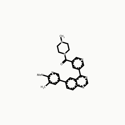 CNc1ncc(-c2ccc3ncnc(-c4cncc(C(=O)N5CCN(C)CC5)c4)c3c2)cc1C